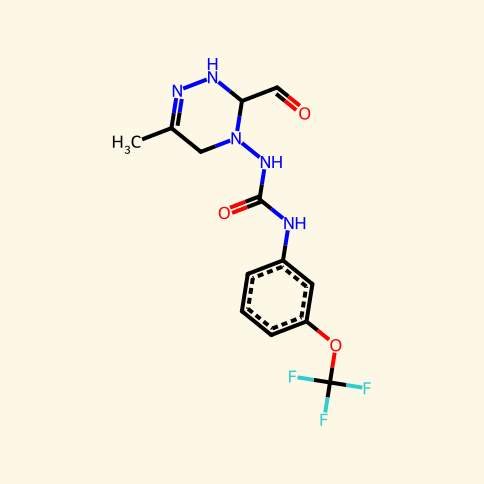 CC1=NNC(C=O)N(NC(=O)Nc2cccc(OC(F)(F)F)c2)C1